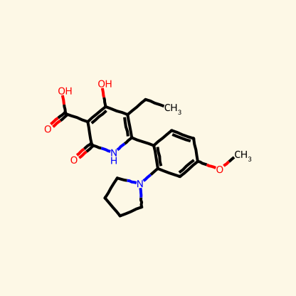 CCc1c(-c2ccc(OC)cc2N2CCCC2)[nH]c(=O)c(C(=O)O)c1O